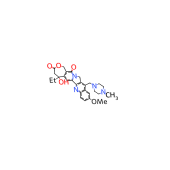 CCC1(O)CC(=O)OCc2c1cc1n(c2=O)Cc2c-1nc1ccc(OC)cc1c2CN1CCN(C)CC1